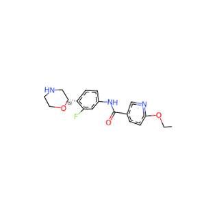 CCOc1ccc(C(=O)Nc2ccc([C@H]3CNCCO3)c(F)c2)cn1